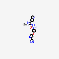 Cn1cc(-c2cc(Oc3ccc(NC(=O)Nc4cn(C(C)(C)C)nc4-c4ccc5ncccc5c4)cc3)ccn2)cn1